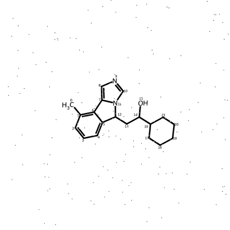 Cc1cccc2c1-c1cncn1C2CC(O)C1CCCCC1